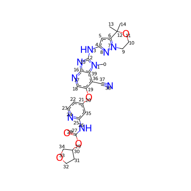 Cn1c(Nc2cc3n(n2)CCOC3(C)C)nc2ncc(Oc3ccnc(NC(=O)OC4CCOC4)c3)c(C#N)c21